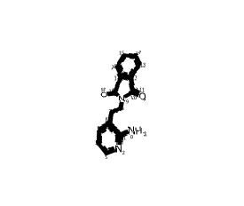 Nc1ncccc1CCN1C(=O)c2ccccc2C1=O